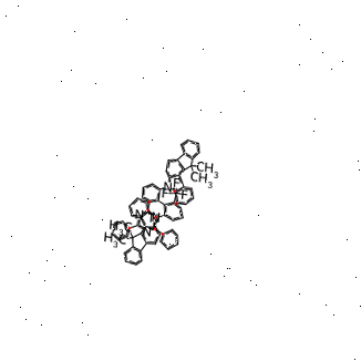 CC1(C)c2ccccc2-c2ccc3c(c21)c1ccccc1n3-c1cccc(-c2nc(-c3ccccc3)nc(-c3ccccc3)n2)c1-c1c(-n2c3ccccc3c3c4c(ccc32)-c2ccccc2C4(C)C)cccc1C(F)(F)F